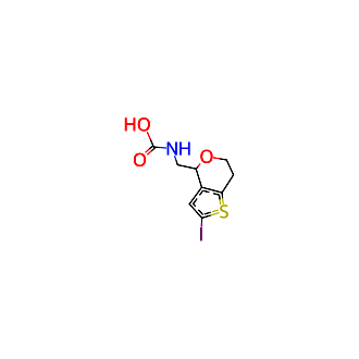 O=C(O)NCC1OCCc2sc(I)cc21